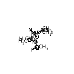 CC1(C)CC=C(c2nc(C3=CC4(C)C=CC(CF)(C3)O4)ccc2NC(=O)c2nc(C#N)cn2COCC[Si](C)(C)C)CC1